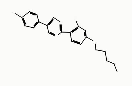 CCCCCCc1ccc(-c2cnc(-c3ccc(OCCCCC(C)CCC)cc3F)nc2)cc1